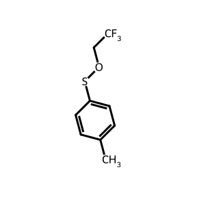 Cc1ccc(SOCC(F)(F)F)cc1